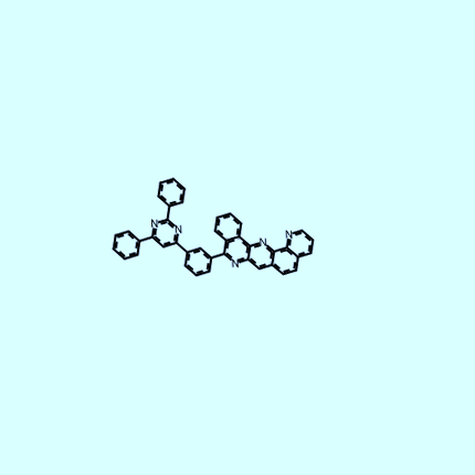 c1ccc(-c2cc(-c3cccc(-c4nc5cc6ccc7cccnc7c6nc5c5ccccc45)c3)nc(-c3ccccc3)n2)cc1